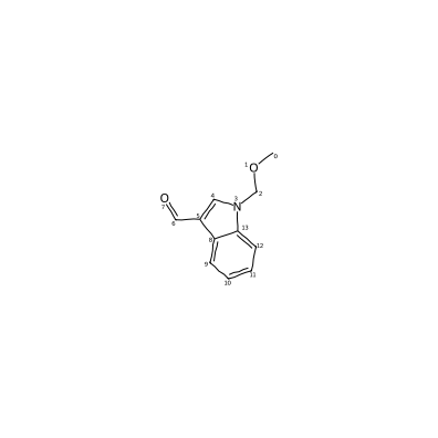 COCn1cc(C=O)c2ccccc21